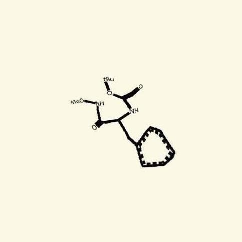 CONC(=O)C(Cc1ccccc1)NC(=O)OC(C)(C)C